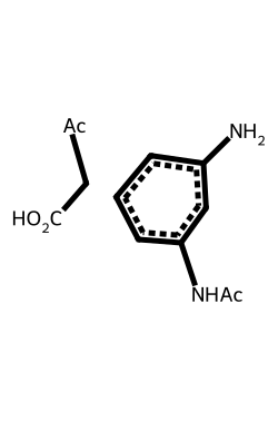 CC(=O)CC(=O)O.CC(=O)Nc1cccc(N)c1